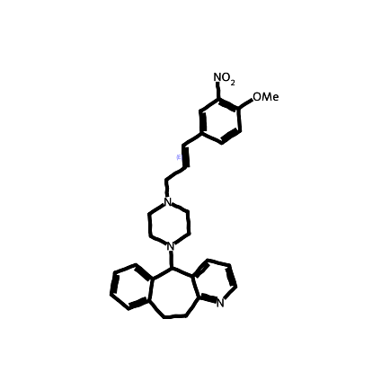 COc1ccc(/C=C/CN2CCN(C3c4ccccc4CCc4ncccc43)CC2)cc1[N+](=O)[O-]